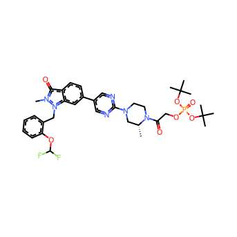 C[C@@H]1CN(c2ncc(-c3ccc4c(=O)n(C)n(Cc5ccccc5OC(F)F)c4c3)cn2)CCN1C(=O)COP(=O)(OC(C)(C)C)OC(C)(C)C